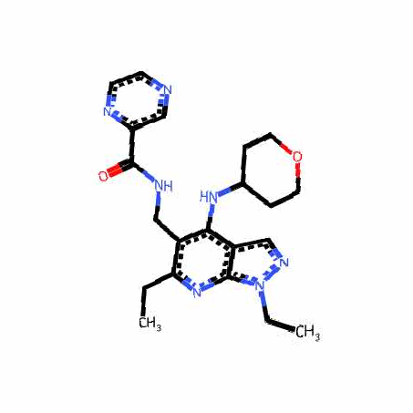 CCc1nc2c(cnn2CC)c(NC2CCOCC2)c1CNC(=O)c1cnccn1